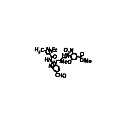 CCn1nc(C)cc1C(=O)Nc1nc2cc(C=O)ccc2n1CCCCNc1c(OC)cc(C(=O)OC)cc1[N+](=O)[O-]